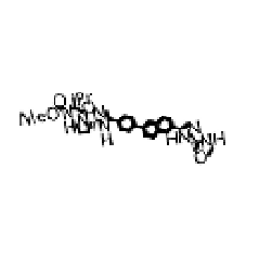 COC(=O)N[C@H](C(=O)N1CCC[C@H]1c1ncc(-c2ccc(-c3ccc4cc(-c5cnc([C@@H]6COCCN6)[nH]5)ccc4c3)cc2)[nH]1)C(C)C